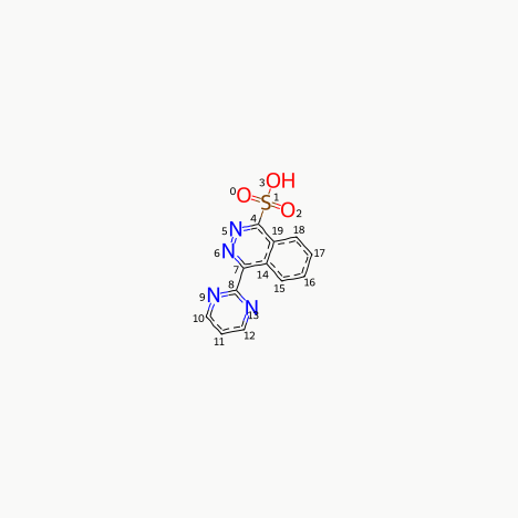 O=S(=O)(O)c1nnc(-c2ncccn2)c2ccccc12